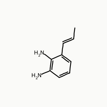 CC=Cc1cccc(N)c1N